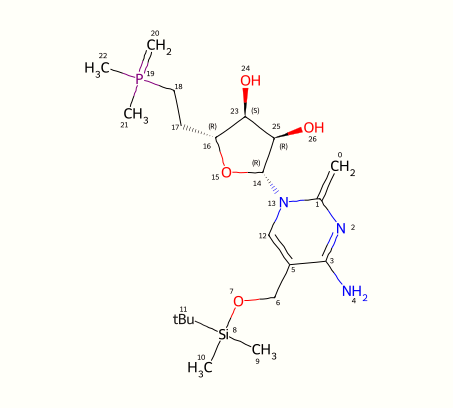 C=C1N=C(N)C(CO[Si](C)(C)C(C)(C)C)=CN1[C@@H]1O[C@H](CCP(=C)(C)C)[C@@H](O)[C@H]1O